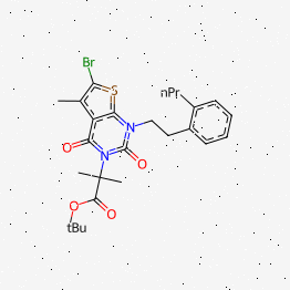 CCCc1ccccc1CCn1c(=O)n(C(C)(C)C(=O)OC(C)(C)C)c(=O)c2c(C)c(Br)sc21